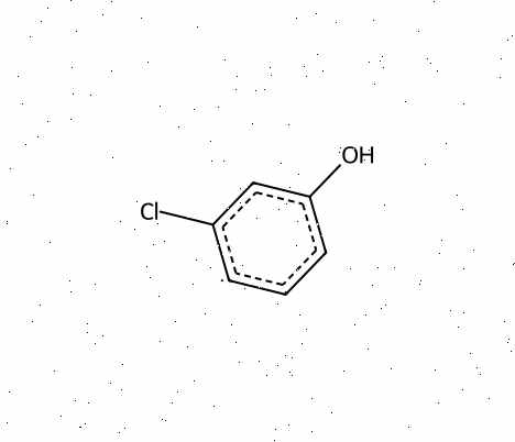 Oc1cc[c]c(Cl)c1